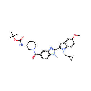 COc1ccc2c(c1)cc(-c1nc3cc(C(=O)N4CCC[C@@H](NC(=O)OC(C)(C)C)C4)ccc3n1C)n2CC1CC1